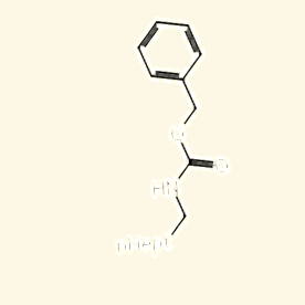 CCCCCCCCNC(=O)OCc1ccccc1